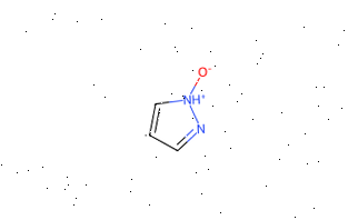 [O-][NH+]1C=[C]C=N1